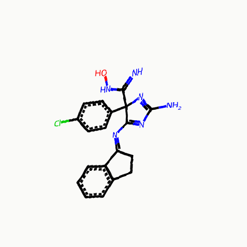 N=C(NO)C1(c2ccc(Cl)cc2)N=C(N)N=C1N=C1CCc2ccccc21